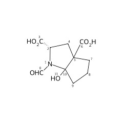 O=CN1[C@H](C(=O)O)CC2(C(=O)O)CCCC12O